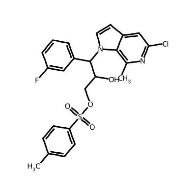 Cc1ccc(S(=O)(=O)OCC(O)C(c2cccc(F)c2)n2ccc3cc(Cl)nc(C)c32)cc1